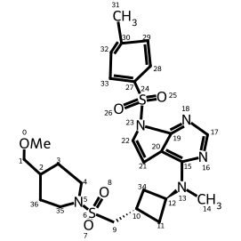 COCC1CCN(S(=O)(=O)C[C@H]2C[C@H](N(C)c3ncnc4c3ccn4S(=O)(=O)c3ccc(C)cc3)C2)CC1